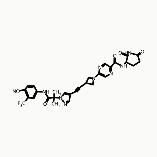 CC(C)(C(=O)Nc1ccc(C#N)c(C(F)(F)F)c1)n1cc(C#CC2CN(c3cnc(C(=O)NC4CCC(=O)NC4=O)cn3)C2)cn1